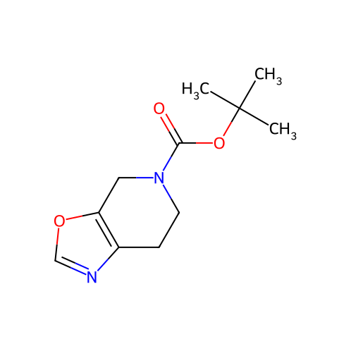 CC(C)(C)OC(=O)N1CCc2ncoc2C1